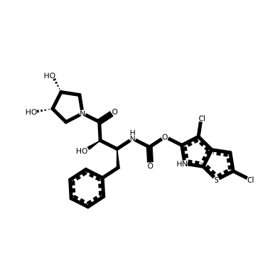 O=C(N[C@@H](Cc1ccccc1)[C@@H](O)C(=O)N1C[C@@H](O)[C@@H](O)C1)Oc1[nH]c2sc(Cl)cc2c1Cl